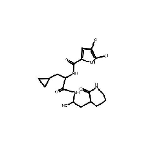 N#CC(CC1CCCNC1=O)NC(=O)C(CC1CC1)NC(=O)c1cc(Cl)c(Cl)[nH]1